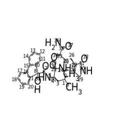 CC(C)C[C@@H](NC(=O)C1(O)c2ccccc2-c2ccccc21)C(=O)N[C@@H](C[C@@H]1CCNC1=O)C(=O)C(N)=O